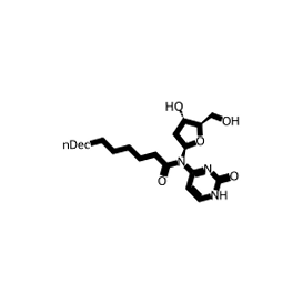 CCCCCCCCCCCCCCCC(=O)N(c1cc[nH]c(=O)n1)[C@H]1C[C@H](O)[C@@H](CO)O1